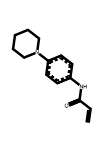 C=CC(=O)Nc1ccc(N2CCCCC2)cc1